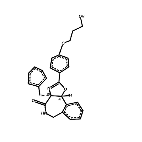 O=C1NCc2ccccc2[C@H]2OC(c3ccc(OCCCO)cc3)=N[C@]12Cc1ccccc1